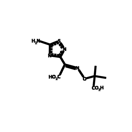 CC(C)(ON=C(C(=O)O)c1nsc(N)n1)C(=O)O